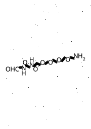 NCCOCCOCCOCCOCCC(=O)NCC(=O)NCC=O